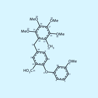 COc1cccc(Oc2ccc(Cc3c(C)c(OC)c(OC)c(OC)c3OC)cc2C(=O)O)c1